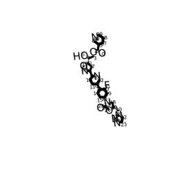 O=C(OCC(O)[C@@H]1CC(c2ccc(-c3ccc(N4C[C@H](Cn5ccnn5)OC4=O)cc3F)cn2)=NO1)c1cccnc1